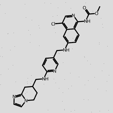 COC(=O)Nc1ncc(Cl)c2cc(NCc3ccc(NCC4CCn5ccnc5C4)nc3)ccc12